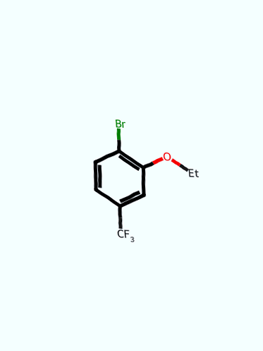 CCOc1cc(C(F)(F)F)ccc1Br